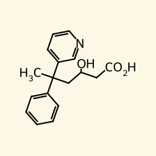 CC(CC(O)CC(=O)O)(c1ccccc1)c1cccnc1